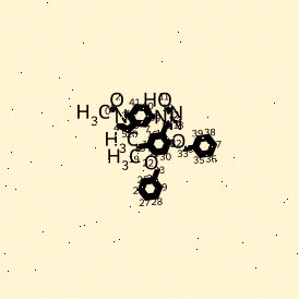 CC(=O)n1ccc2cc(-n3c(O)nnc3-c3cc(C(C)C)c(OCc4ccccc4)cc3OCc3ccccc3)ccc21